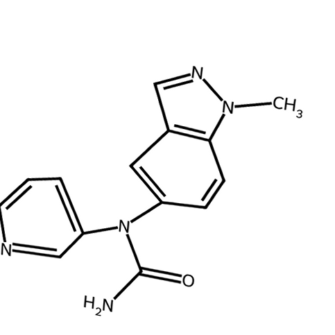 Cn1ncc2cc(N(C(N)=O)c3cccnc3)ccc21